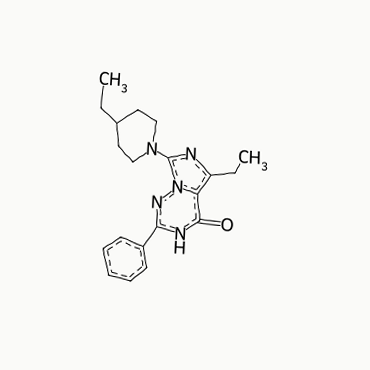 CCc1nc(N2CCC(CC)CC2)n2nc(-c3ccccc3)[nH]c(=O)c12